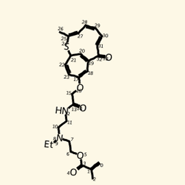 C=C(C)C(=O)OCCN(CC)CCNC(=O)COC1=CC2=CC(C=C1)S/C(C)=C/C=C\C=C\C2=O